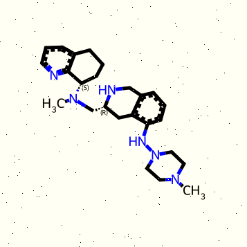 CN1CCN(Nc2cccc3c2C[C@H](CN(C)[C@H]2CCCc4cccnc42)NC3)CC1